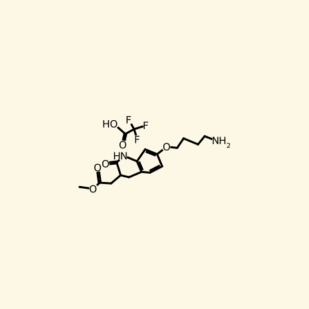 COC(=O)CC1Cc2ccc(OCCCCN)cc2NC1=O.O=C(O)C(F)(F)F